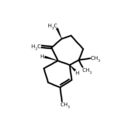 C=C1[C@H]2CCC(C)=C[C@H]2C(C)(C)CC[C@@H]1C